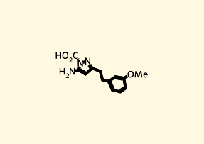 COc1cccc(CCc2cc(N)n(C(=O)O)n2)c1